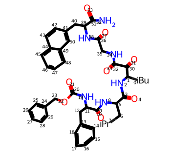 CCC(C)C(NC(=O)C(CC(C)C)NC(=O)C(Cc1ccccc1)NC(=O)OCc1ccccc1)C(=O)C(=O)NCC(=O)NC(Cc1ccc2ccccc2c1)C(N)=O